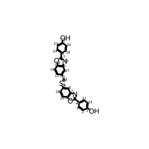 Oc1ccc(-c2nc3cc(SSc4ccc5oc(-c6ccc(O)cc6)nc5c4)ccc3o2)cc1